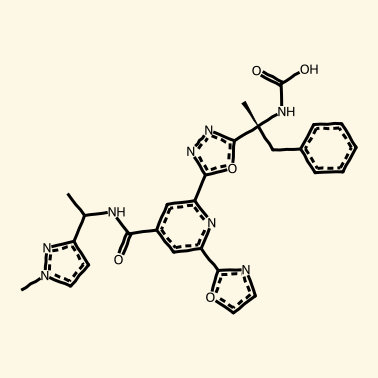 CC(NC(=O)c1cc(-c2ncco2)nc(-c2nnc([C@@](C)(Cc3ccccc3)NC(=O)O)o2)c1)c1ccn(C)n1